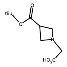 CC(C)(C)OC(=O)C1CN(CC(=O)O)C1